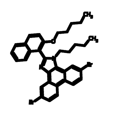 CCCCCOc1ccc2ccccc2c1-c1nc2c3cc(Br)ccc3c3ccc(Br)cc3c2n1CCCCC